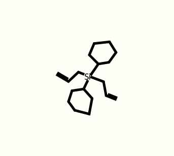 C=CC[Si](CC=C)(C1CCCCC1)C1CCCCC1